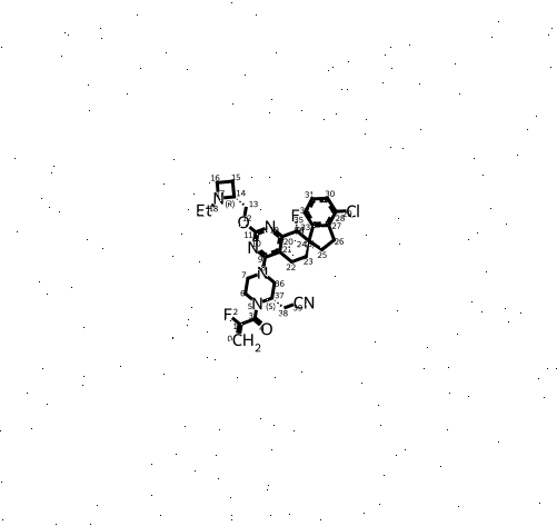 C=C(F)C(=O)N1CCN(c2nc(OC[C@H]3CCN3CC)nc3c2CC[C@@]2(CCc4c(Cl)cccc42)[C@H]3F)C[C@@H]1CC#N